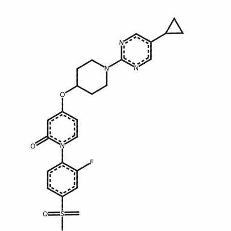 C=S(C)(=O)c1ccc(-n2ccc(OC3CCN(c4ncc(C5CC5)cn4)CC3)cc2=O)c(F)c1